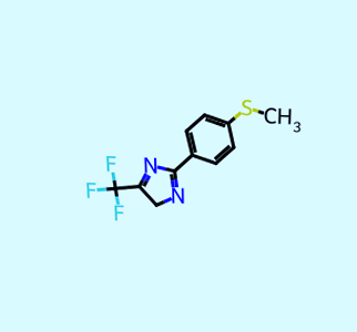 CSc1ccc(C2=NCC(C(F)(F)F)=N2)cc1